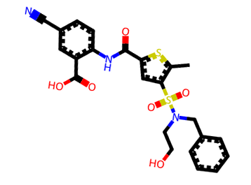 Cc1sc(C(=O)Nc2ccc(C#N)cc2C(=O)O)cc1S(=O)(=O)N(CCO)Cc1ccccc1